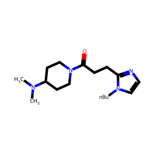 CCCCn1ccnc1CCC(=O)N1CCC(N(C)C)CC1